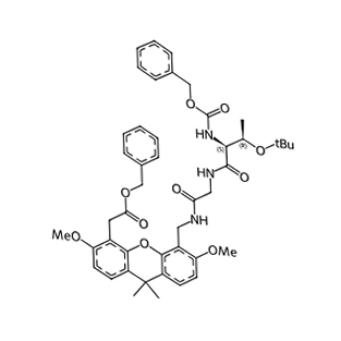 COc1ccc2c(c1CNC(=O)CNC(=O)[C@@H](NC(=O)OCc1ccccc1)[C@@H](C)OC(C)(C)C)Oc1c(ccc(OC)c1CC(=O)OCc1ccccc1)C2(C)C